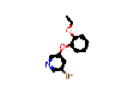 CCOc1ccccc1Oc1cncc(Br)c1